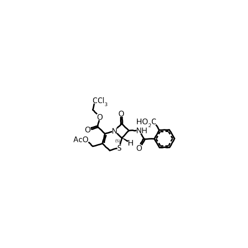 CC(=O)OCC1=C(C(=O)OCC(Cl)(Cl)Cl)N2C(=O)C(NC(=O)c3ccccc3C(=O)O)[C@@H]2SC1